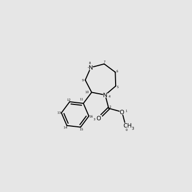 COC(=O)N1CCC[N]CC1c1ccccc1